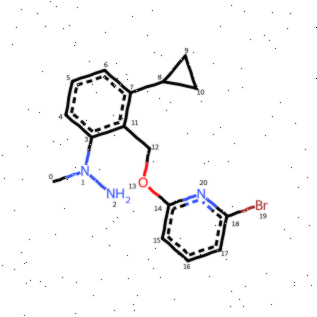 CN(N)c1cccc(C2CC2)c1COc1cccc(Br)n1